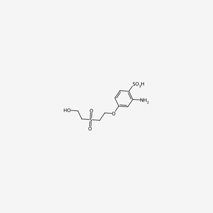 Nc1cc(OCCS(=O)(=O)CCO)ccc1S(=O)(=O)O